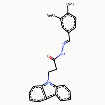 COc1ccc(C=NNC(=O)CCn2c3ccccc3c3ccccc32)cc1OC